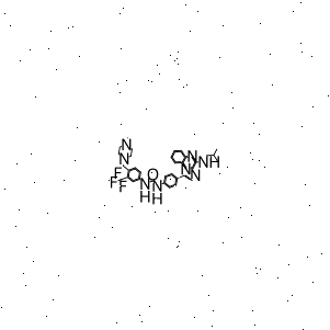 CC(C)CNc1nc2ccccc2n2c(-c3ccc(NC(=O)Nc4ccc(CN5CCN(C)CC5)c(C(F)(F)F)c4)cc3)cnc12